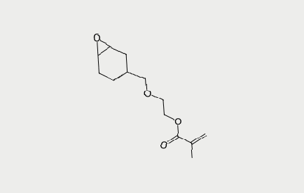 C=C(C)C(=O)OCCOCC1CCC2OC2C1